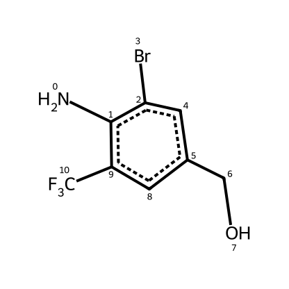 Nc1c(Br)cc(CO)cc1C(F)(F)F